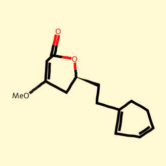 COC1=CC(=O)O[C@@H](CCC2=CC=CCC2)C1